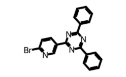 Brc1ccc(-c2nc(-c3ccccc3)nc(-c3ccccc3)n2)cn1